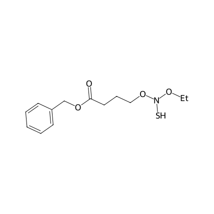 CCON(S)OCCCC(=O)OCc1ccccc1